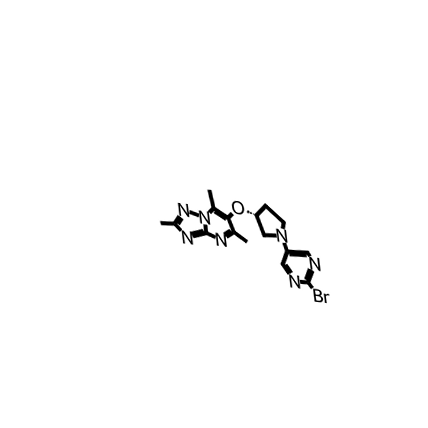 Cc1nc2nc(C)c(O[C@@H]3CCN(c4cnc(Br)nc4)C3)c(C)n2n1